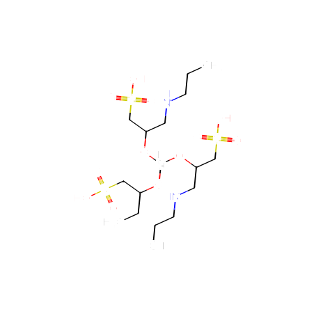 CCCNCC(CS(=O)(=O)O)O[SiH](OC(CC)CS(=O)(=O)O)OC(CNCCC)CS(=O)(=O)O